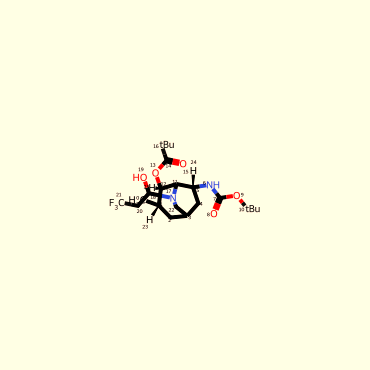 C[C@H]1CC2C[C@@H](NC(=O)OC(C)(C)C)C([C@H]1OC(=O)C(C)(C)C)N(C(O)CC(F)(F)F)C2